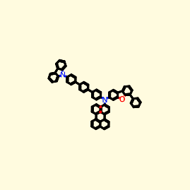 c1ccc(-c2cccc3c2oc2cc(N(c4ccc(-c5ccc(-c6ccc(-n7c8ccccc8c8ccccc87)cc6)cc5)cc4)c4ccc(-c5cccc6cccc(-c7ccccc7)c56)cc4)ccc23)cc1